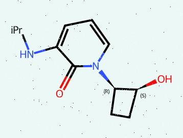 CC(C)Nc1cccn([C@@H]2CC[C@@H]2O)c1=O